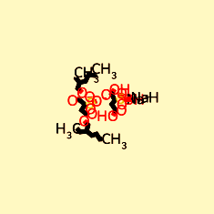 CCCCC(CC)COC(=O)CC(C(=O)OCC(CC)CCCC)S(=O)(=O)[O-].O=C(O)CC(C(=O)O)S(=O)(=O)O.[Na+].[NaH]